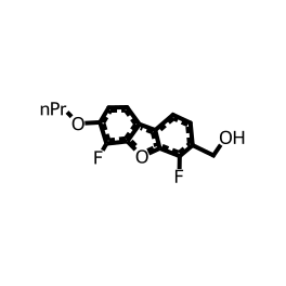 CCCOc1ccc2c(oc3c(F)c(CO)ccc32)c1F